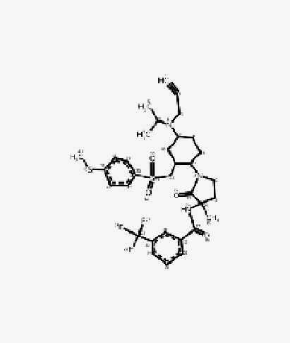 C#CCN(C(C)C)C1CCC(N2CCC(C)(NC(=O)c3cccc(C(F)(F)F)c3)C2=O)C(CS(=O)(=O)c2ccc(SC)cc2)C1